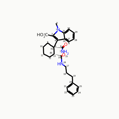 Cn1c(C(=O)O)c([C@]2(C(N)=O)CCCC[C@H]2C(=O)NCCCc2ccccc2)c2ccccc21